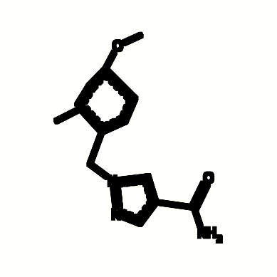 COc1ccc(Cn2cc(C(N)=O)cn2)c(C)c1